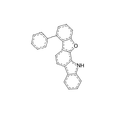 c1ccc(-c2cccc3oc4c(ccc5c6ccccc6[nH]c54)c23)cc1